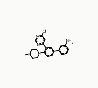 CN1CCN(c2ccc(-c3cccc(N)c3)cc2-c2cc(Cl)ncn2)CC1